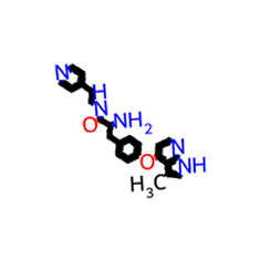 Cc1c[nH]c2nccc(Oc3ccc(CC(N)C(=O)NCCc4ccncc4)cc3)c12